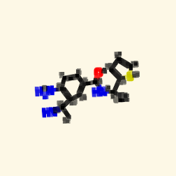 CCC(NC(=O)c1ccc(N)c(C(C)=N)c1)c1cccs1